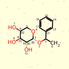 [CH2]C(O[C@H]1OC[C@H](O)[C@H](O)[C@H]1O)c1ccccc1